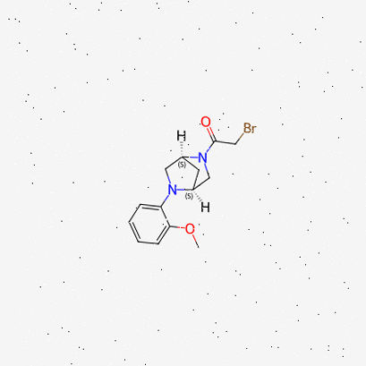 COc1ccccc1N1C[C@@H]2C[C@H]1CN2C(=O)CBr